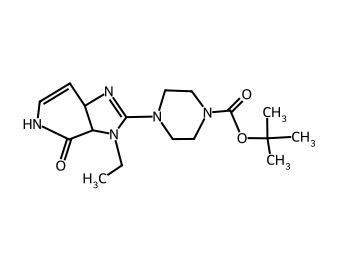 CCN1C(N2CCN(C(=O)OC(C)(C)C)CC2)=NC2C=CNC(=O)C21